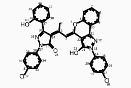 CC(C=C1Oc2ccccc2-c2nn(-c3ccc(Cl)cc3)c(O)c21)=C1C(=O)N(c2ccc(Cl)cc2)N=C1c1ccccc1O